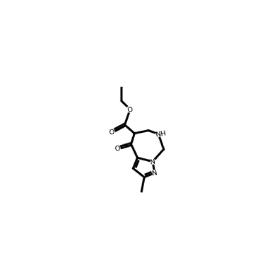 CCOC(=O)C1CNCn2nc(C)cc2C1=O